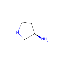 N[C@@H]1CC[N]C1